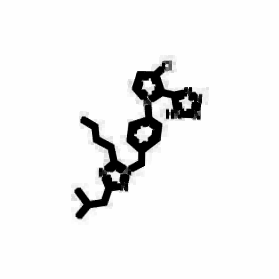 CCCCc1nc(CC(C)C)nn1Cc1ccc(-n2ccc(Cl)c2-c2nnn[nH]2)cc1